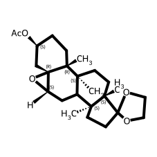 CC(=O)O[C@H]1CC[C@]2(C)[C@@]3(C)CC[C@]4(C)C5(CC[C@@]4(C)C3C[C@@H]3O[C@@]32C1)OCCO5